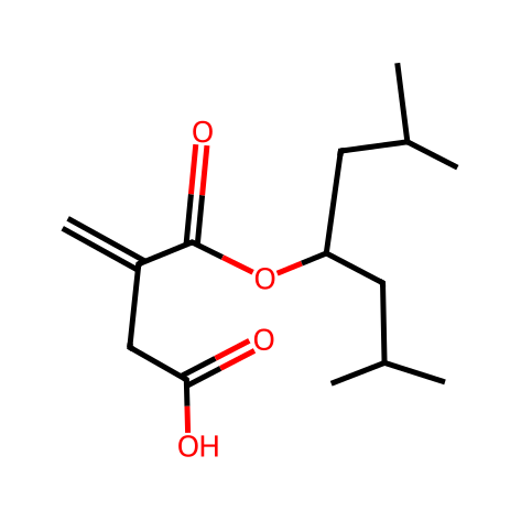 C=C(CC(=O)O)C(=O)OC(CC(C)C)CC(C)C